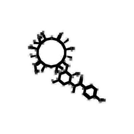 CC[C@H]1OC(=O)[C@H](C)[C@@H](O)[C@H](C)[C@@H](O[C@@H]2O[C@H](C)C[C@H](N(C)C(=O)c3ccc(OC)cc3)[C@H]2O)C(C)(O)C[C@@H](C)/C(=N\O)[C@H](C)[C@@H](O)[C@]1(C)O